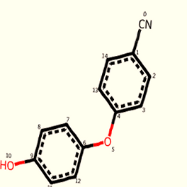 N#Cc1ccc(Oc2ccc(O)cc2)cc1